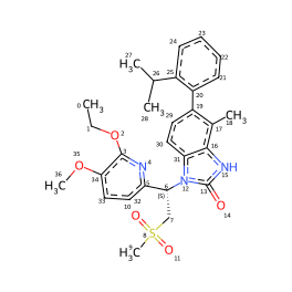 CCOc1nc([C@@H](CS(C)(=O)=O)n2c(=O)[nH]c3c(C)c(-c4ccccc4C(C)C)ccc32)ccc1OC